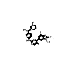 Cc1nc2c(F)cc(-c3nc(Nc4ccc([C@@H](O)[C@H]5CCCNC5)cn4)ncc3F)cc2n1C(C)C